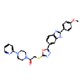 COc1ccc(-c2nc3ccc(-c4nnc(SCC(=O)N5CCN(c6ccccn6)CC5)o4)cc3[nH]2)cc1